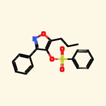 CCCc1onc(-c2ccccc2)c1OS(=O)(=O)c1ccccc1